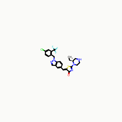 CC[C@H]1CNCCN1C1=NC(=O)/C(=C/c2ccc3c(cnn3Cc3ccc(Cl)cc3C(F)(F)F)c2)S1